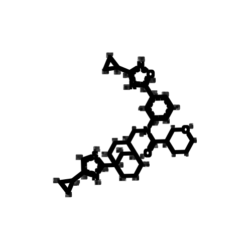 O=C(C1CCCOC1)N(CC1CCC2(c3nc(C4CC4)cs3)CCCC1C2)c1cccc(-c2nc(C3CC3)no2)c1